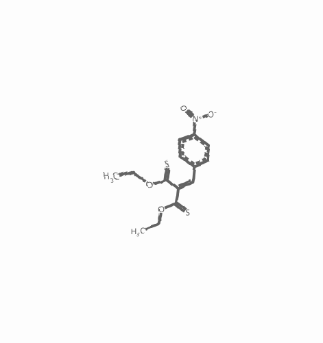 CCOC(=S)C(=Cc1ccc([N+](=O)[O-])cc1)C(=S)OCC